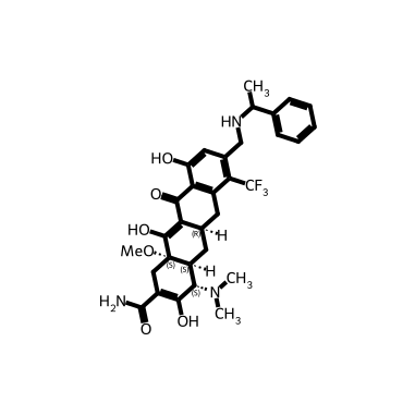 CO[C@@]12CC(C(N)=O)=C(O)[C@@H](N(C)C)[C@@H]1C[C@@H]1Cc3c(c(O)cc(CNC(C)c4ccccc4)c3C(F)(F)F)C(=O)C1=C2O